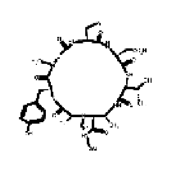 CCCN1[C@H](C(=O)NC(C)(C)C)[C@H](C)NC(=O)[C@H]([C@@H](C)O)NC(=O)[C@H](CC(=O)O)NC(=O)[C@H](CC(C)C)NC(=O)CN(C)C(=O)[C@H](Cc2ccc(O)cc2)NC(=O)[C@@H]1C